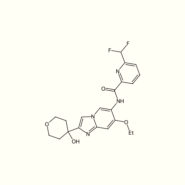 CCOc1cc2nc(C3(O)CCOCC3)cn2cc1NC(=O)c1cccc(C(F)F)n1